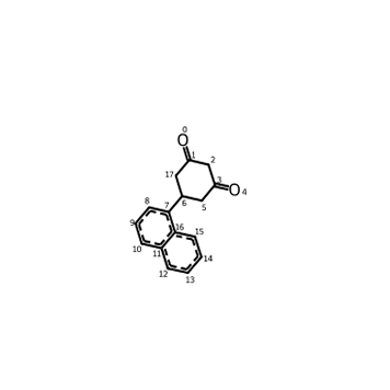 O=C1CC(=O)CC(c2cccc3ccccc23)C1